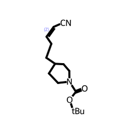 CC(C)(C)OC(=O)N1CCC(CC/C=C\C#N)CC1